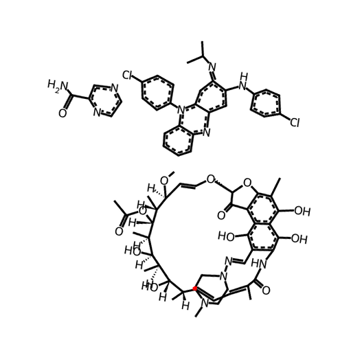 CC(C)/N=c1\cc2n(-c3ccc(Cl)cc3)c3ccccc3nc-2cc1Nc1ccc(Cl)cc1.CO[C@H]1/C=C/O[C@@]2(C)Oc3c(C)c(O)c4c(O)c(c(/C=N/N5CCN(C)CC5)c(O)c4c3C2=O)NC(=O)/C(C)=C\C=C\[C@H](C)[C@H](O)[C@@H](C)[C@@H](O)[C@@H](C)[C@H](OC(C)=O)[C@@H]1C.NC(=O)c1cnccn1